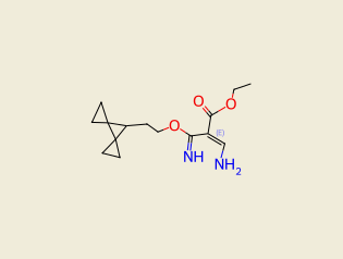 CCOC(=O)/C(=C/N)C(=N)OCCC1C2(CC2)C12CC2